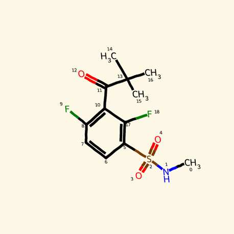 CNS(=O)(=O)c1ccc(F)c(C(=O)C(C)(C)C)c1F